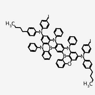 CCCCc1ccc(N(c2ccc(I)cc2)c2cc3c4c(c2)N(c2ccccc2)c2cc5c(cc2B4c2ccccc2O3)B2c3ccccc3N(c3ccccc3)c3cc(N(c4ccc(I)cc4)c4ccc(CCCC)cc4)cc(c32)N5c2ccccc2)cc1